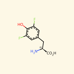 N[C@@H](Cc1cc(F)c(O)c(F)c1)C(=O)O